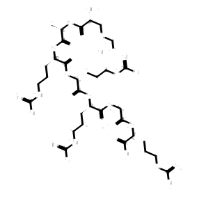 CC(=O)NCSC[C@@H](NC(C)=O)C(=O)N[C@H](C)C(=O)N[C@H](CCCNC(=N)N)C(=O)N[C@H](CCCNC(=N)N)C(=O)N[C@H](CCCNC(=N)N)C(=O)N[C@H](C)C(=O)N[C@H](CCCNC(=N)N)C(N)=O